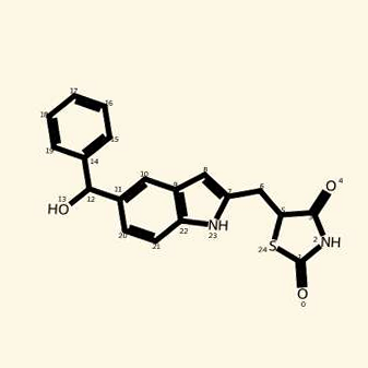 O=C1NC(=O)C(Cc2cc3cc(C(O)c4ccccc4)ccc3[nH]2)S1